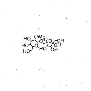 CO[C@H]1[C@@H](OC[C@@]2(O)O[C@](O)(CO)[C@@H](O)[C@@H]2O)OC(CO)[C@@H](O)[C@@H]1O